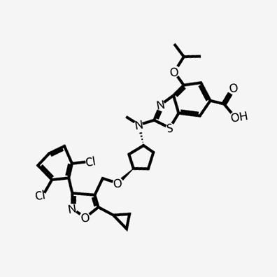 CC(C)Oc1cc(C(=O)O)cc2sc(N(C)[C@@H]3CC[C@@H](OCc4c(-c5c(Cl)cccc5Cl)noc4C4CC4)C3)nc12